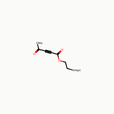 CCCCCCCCCOC(=O)C#CC(=O)OC